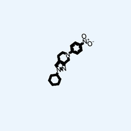 O=[N+]([O-])c1ccc(N2CCc3cn(C4CCCCC4)nc3C2)cc1